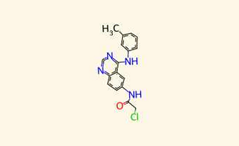 Cc1cccc(Nc2ncnc3ccc(NC(=O)CCl)cc23)c1